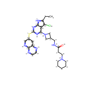 CCc1[nH]c2nc(Sc3cnc4nccnc4c3)nc(N3CC(CNC(=O)CCN4CCCCC4)C3)c2c1Cl